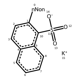 CCCCCCCCCc1ccc2ccccc2c1S(=O)(=O)[O-].[K+]